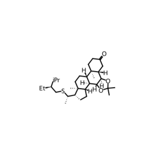 CC[C@H](CS[C@@H](C)[C@H]1CC[C@H]2[C@@H]3[C@H]4OC(C)(C)O[C@@H]4[C@H]4CC(=O)CC[C@]4(C)[C@H]3CC[C@]12C)C(C)C